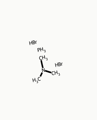 Br.Br.CN(C)C.P